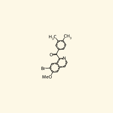 COc1cc2ccnc(C(=O)c3ccc(C)c(C)c3)c2cc1Br